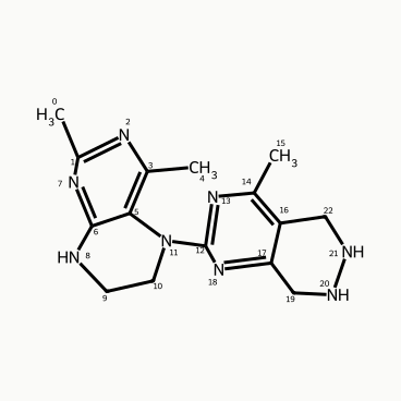 Cc1nc(C)c2c(n1)NCCN2c1nc(C)c2c(n1)CNNC2